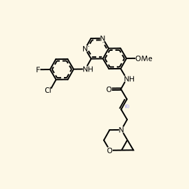 COc1cc2ncnc(Nc3ccc(F)c(Cl)c3)c2cc1NC(=O)/C=C/CN1CCOC2CC21